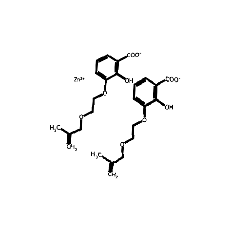 C=C(C)COCCOc1cccc(C(=O)[O-])c1O.C=C(C)COCCOc1cccc(C(=O)[O-])c1O.[Zn+2]